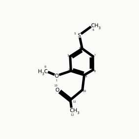 COc1cc(SC)ccc1CC(C)=O